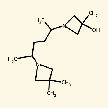 CC(CCC(C)N1CC(C)(O)C1)N1CC(C)(C)C1